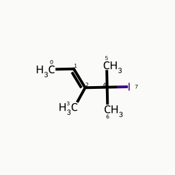 C/C=C(\C)C(C)(C)I